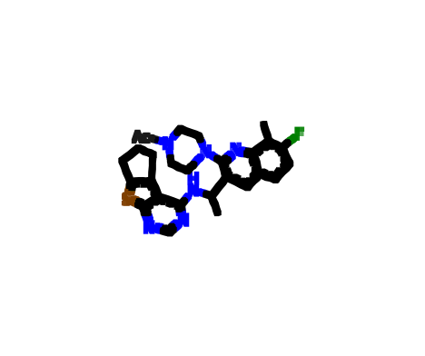 CC(=O)N1CCN(c2nc3c(C)c(F)ccc3cc2C(C)Nc2ncnc3sc4c(c23)CCC4)CC1